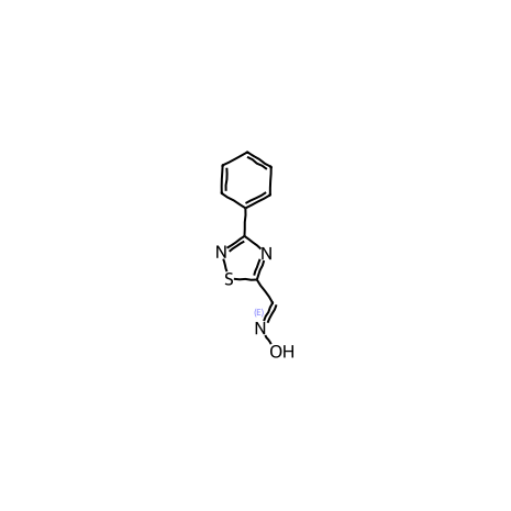 O/N=C/c1nc(-c2ccccc2)ns1